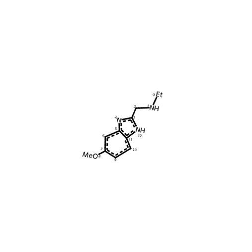 CCNCc1nc2cc(OC)ccc2[nH]1